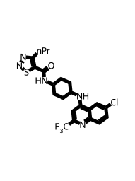 CCCc1nnsc1C(=O)NC1CCC(Nc2cc(C(F)(F)F)nc3ccc(Cl)cc23)CC1